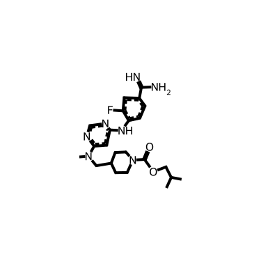 CC(C)COC(=O)N1CCC(CN(C)c2cc(Nc3ccc(C(=N)N)cc3F)ncn2)CC1